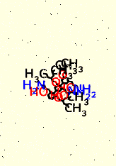 CCCC(CCC)COc1cccc(C[C@H](O)CN)c1-c1cc(C[C@@H](O)CN)c(-c2cc(C[C@@H](O)CN)cc(OCC(CC)CC)c2)c(OCC(CCC)CCC)c1